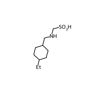 CCC1CCC(CNCS(=O)(=O)O)CC1